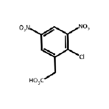 O=C(O)Cc1cc([N+](=O)[O-])cc([N+](=O)[O-])c1Cl